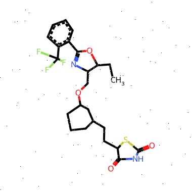 CCC1OC(c2ccccc2C(F)(F)F)=NC1COC1CCCC(CCC2SC(=O)NC2=O)C1